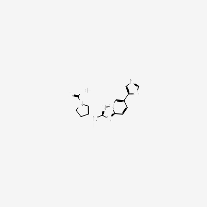 O=C(O)N1CC[C@@H](Nc2nc3ccc(-c4cnco4)cn3n2)C1